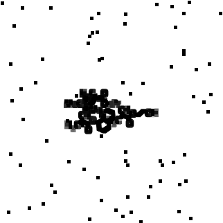 C=C(C)C(=O)OCCO.C=C(C)C(=O)Oc1cccc2cccnc12.CCCOC(=O)C(C)=C[Si](OC)(OC)OC